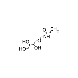 C=CC(=O)NCOCC(O)C(O)CO